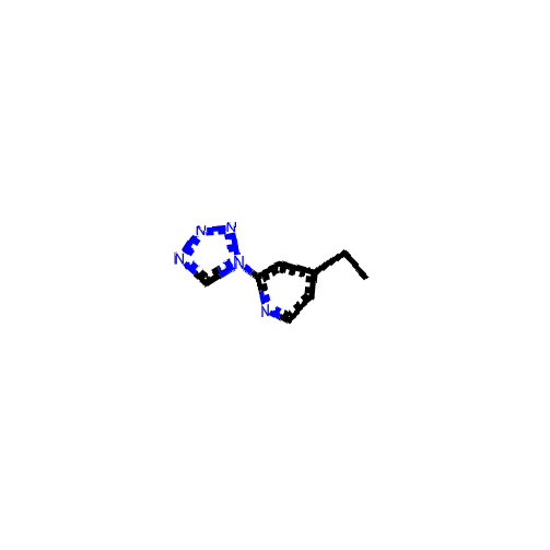 CCc1ccnc(-n2cnnn2)c1